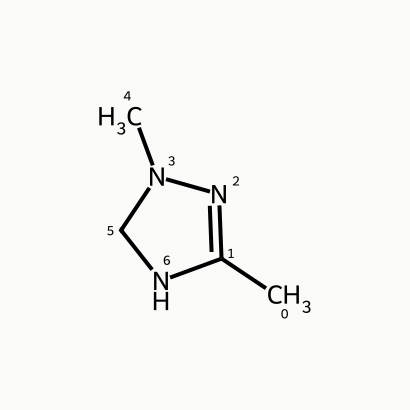 CC1=NN(C)CN1